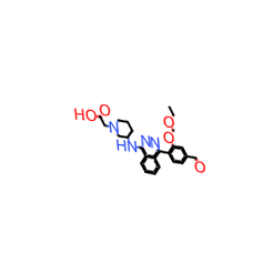 CCOCOc1cc(C=O)ccc1-c1nnc(N[C@@H]2CCCN(CC(=O)O)C2)c2ccccc12